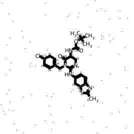 CC1=NC2=CC=C(NC3=NCC(NC(=O)OC(C)(C)C)C(=O)N3CC3=CCC(Cl)C=C3)CC2S1